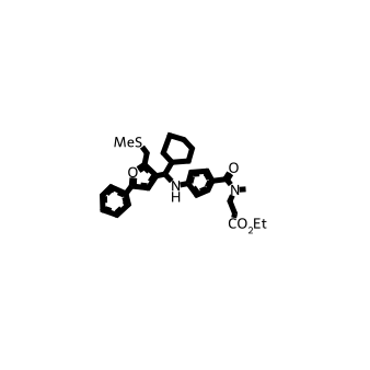 CCOC(=O)CCN(C)C(=O)c1ccc(NC(c2cc(-c3ccccc3)oc2CSC)C2CCCCC2)cc1